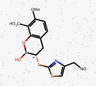 COc1ccc2c(c1C(=O)O)OB(O)[C@@H](Sc1nc(CN=O)cs1)C2